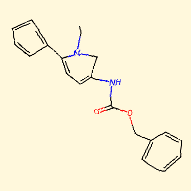 CN1CC(NC(=O)OCc2ccccc2)=CC=C1c1ccccc1